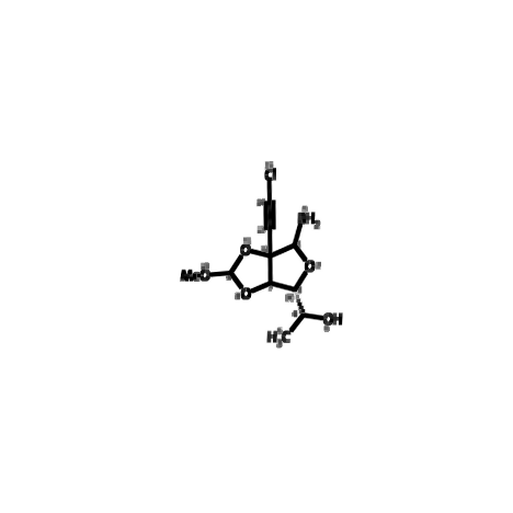 BC1O[C@H](C(C)O)C2OC(OC)OC12C#CCl